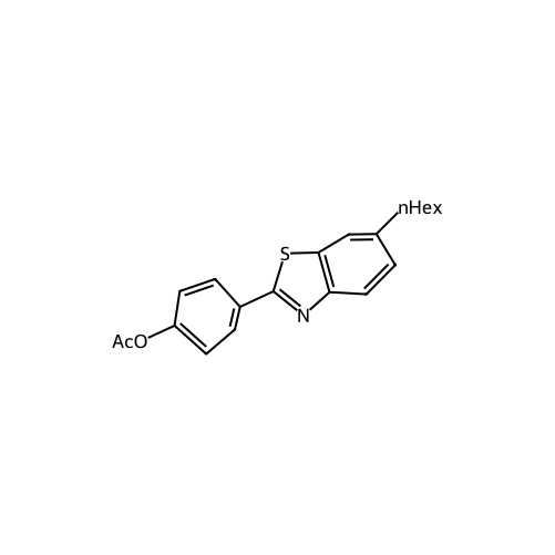 CCCCCCc1ccc2nc(-c3ccc(OC(C)=O)cc3)sc2c1